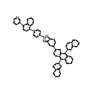 c1cncc(-c2ccc(-c3ccc(-n4nc5ccc(-c6ccc7c(-c8ccc9ccccc9c8)c8ccccc8c(-c8ccc9ccccc9c8)c7c6)cc5n4)cc3)c3ccccc23)c1